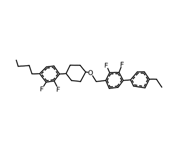 CCCCc1ccc(C2CCC(OCc3ccc(-c4ccc(CC)cc4)c(F)c3F)CC2)c(F)c1F